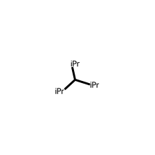 [CH2]C(C)C(C(C)C)C(C)C